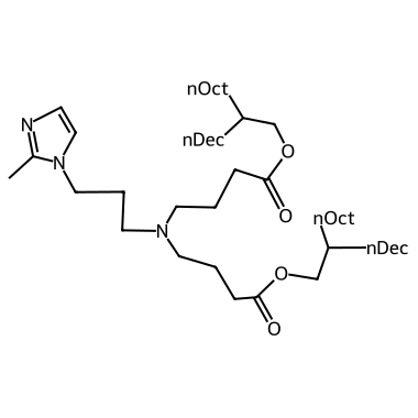 CCCCCCCCCCC(CCCCCCCC)COC(=O)CCCN(CCCC(=O)OCC(CCCCCCCC)CCCCCCCCCC)CCCn1ccnc1C